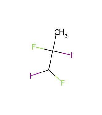 CC(F)(I)C(F)I